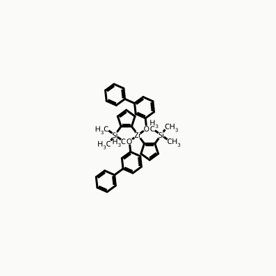 C[Si](C)(C)C1=[C]([Zr]([O]c2cccc(-c3ccccc3)c2)([O]c2cccc(-c3ccccc3)c2)[C]2=C([Si](C)(C)C)C=CC2)CC=C1